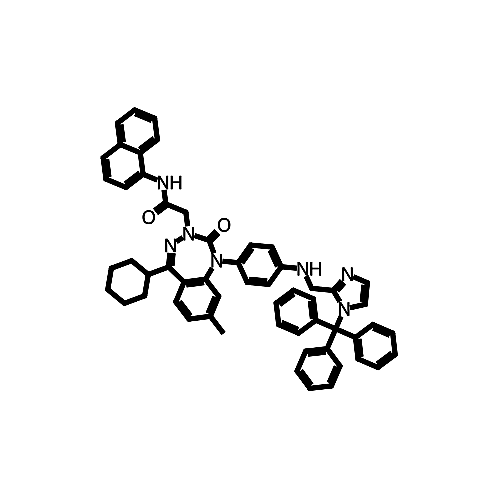 Cc1ccc2c(c1)N(c1ccc(NCc3nccn3C(c3ccccc3)(c3ccccc3)c3ccccc3)cc1)C(=O)N(CC(=O)Nc1cccc3ccccc13)N=C2C1CCCCC1